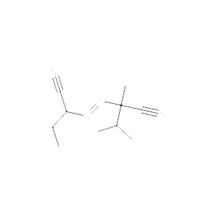 CCC(C#N)N=NC(C)(C#N)C(C)C